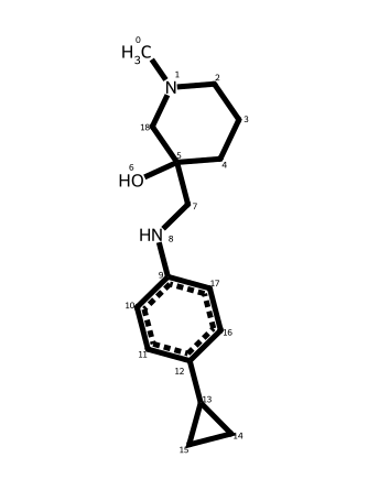 CN1CCCC(O)(CNc2ccc(C3CC3)cc2)C1